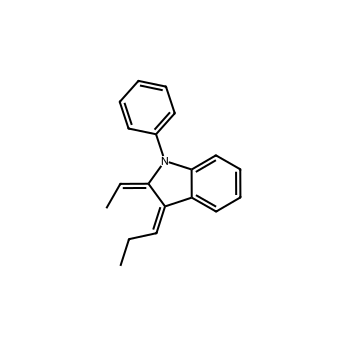 C/C=c1\c(=C/CC)c2ccccc2n1-c1ccccc1